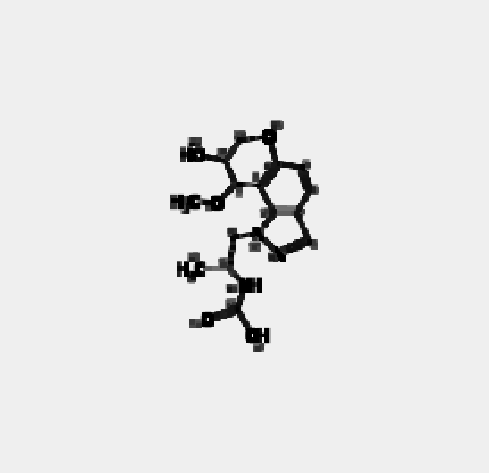 COC1c2c(ccc3cnn(CC(C)NC(=O)O)c23)OCC1O